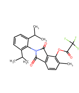 Cc1ccc2c(c1OC(=O)C(F)(F)F)C(=O)N(c1c(C(C)C)cccc1C(C)C)C2=O